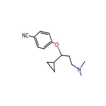 CN(C)CCC(Oc1ccc(C#N)cc1)C1CC1